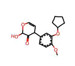 COc1ccc(C2C=COC(O)C2=O)cc1OC1CCCC1